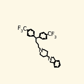 FC(F)(F)c1ccc(C(CCCN2CCC(N3Cc4ccccc4C3)CC2)c2ccc(C(F)(F)F)cc2)cc1